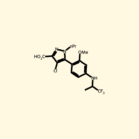 CCCn1nc(C(=O)O)c(Cl)c1-c1ccc(NC(C)C(F)(F)F)cc1OC